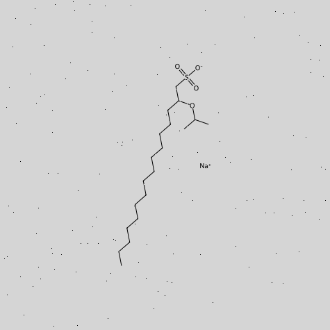 CCCCCCCCCCCCCCC(CS(=O)(=O)[O-])OC(C)C.[Na+]